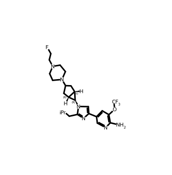 CC(C)Cc1nc(-c2cnc(N)c(OC(F)(F)F)c2)cn1[C@H]1[C@@H]2CC(N3CCN(CCF)CC3)C[C@@H]21